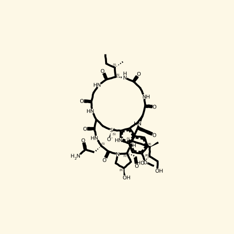 CC[C@H](C)[C@@H]1NC(=O)CNC(=O)C2Cc3c([nH]c4cc(OC)ccc34)[S@+]([O-])CC(NC(=O)CNC1=O)C(=O)N[C@@H](CC(N)=O)C(=O)N1C[C@H](O)C[C@]1(C=O)N[C@@H]([C@@H](C)[C@@H](O)CO)C(=O)N2